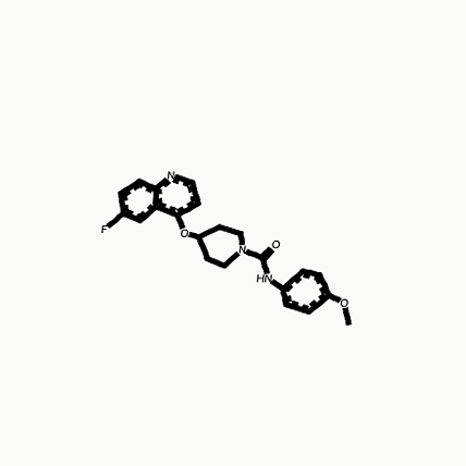 COc1ccc(NC(=O)N2CCC(Oc3ccnc4ccc(F)cc34)CC2)cc1